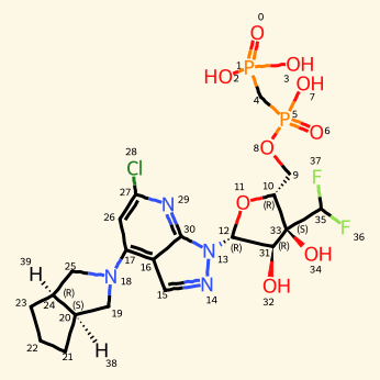 O=P(O)(O)CP(=O)(O)OC[C@H]1O[C@@H](n2ncc3c(N4C[C@H]5CCC[C@H]5C4)cc(Cl)nc32)[C@H](O)[C@@]1(O)C(F)F